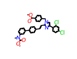 COC(=O)c1ccc(Cn2cc(-c3ccc(Cl)cc3Cl)nc2/C=C/c2ccc(-c3cccc(N(C)C(=O)OC)c3)cc2)cc1